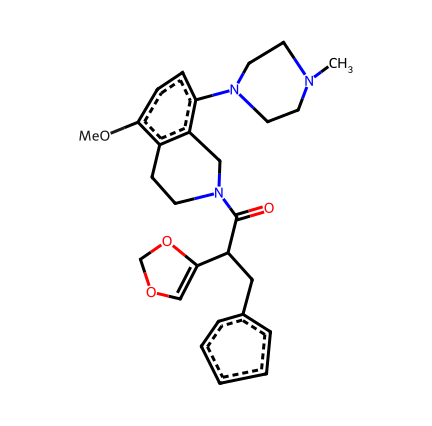 COc1ccc(N2CCN(C)CC2)c2c1CCN(C(=O)C(Cc1ccccc1)C1=COCO1)C2